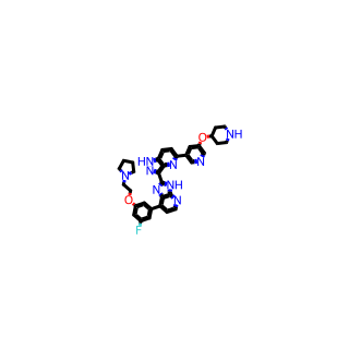 Fc1cc(OCCN2CCCC2)cc(-c2ccnc3[nH]c(-c4n[nH]c5ccc(-c6cncc(OC7CCNCC7)c6)nc45)nc23)c1